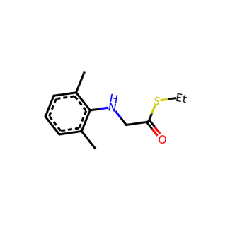 CCSC(=O)CNc1c(C)cccc1C